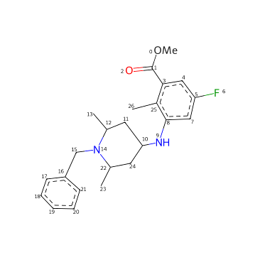 COC(=O)c1cc(F)cc(NC2CC(C)N(Cc3ccccc3)C(C)C2)c1C